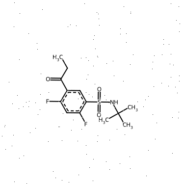 CCC(=O)c1cc(S(=O)(=O)NC(C)(C)C)c(F)cc1F